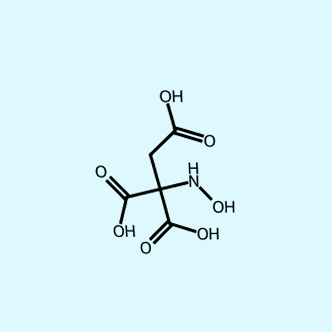 O=C(O)CC(NO)(C(=O)O)C(=O)O